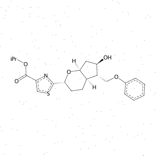 CC(C)OC(=O)c1csc([C@H]2CC[C@@H]3[C@@H](COc4ccccc4)[C@H](O)C[C@@H]3O2)n1